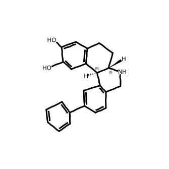 Oc1cc2c(cc1O)[C@@H]1c3cc(-c4ccccc4)ccc3CN[C@H]1CC2